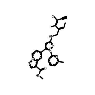 C#C/C(Cl)=C(F)\C(=C/C)CNc1cc(-c2ccn3ncc(C(=O)NC)c3c2)n(-c2cccc(C)n2)n1